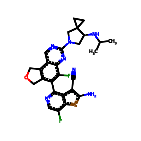 CC(C)N[C@H]1CN(c2ncc3c4c(c(-c5ncc(F)c6sc(N)c(C#N)c56)c(F)c3n2)COC4)CC12CC2